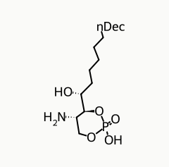 CCCCCCCCCCCCCCC[C@@H](O)[C@H]1OP(=O)(O)OC[C@@H]1N